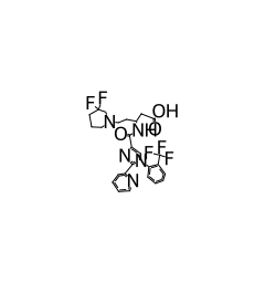 O=C(O)CC(CCN1CCCC(F)(F)C1)NC(=O)c1cn(-c2ccccc2C(F)(F)F)c(-c2ccccn2)n1